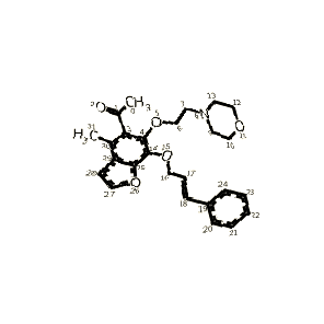 CC(=O)c1c(OCCN2CCOCC2)c(OC/C=C/c2ccccc2)c2occc2c1C